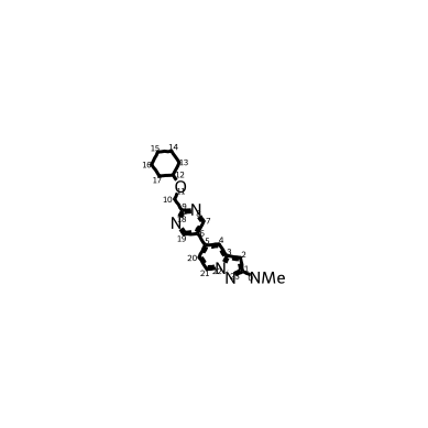 CNc1cc2cc(-c3cnc(COC4CCCCC4)nc3)ccn2n1